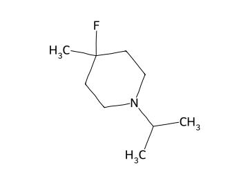 CC(C)N1CCC(C)(F)CC1